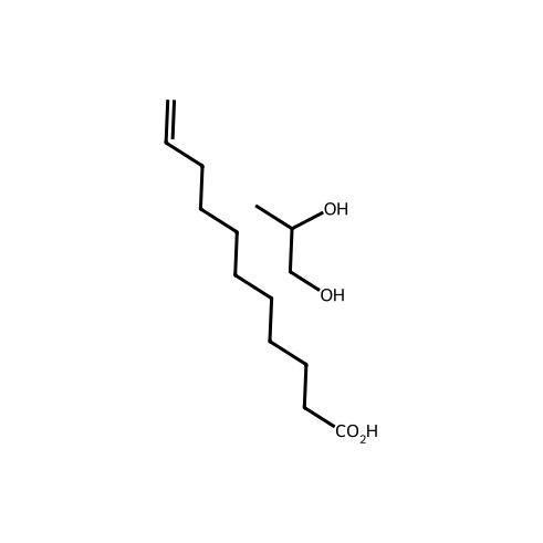 C=CCCCCCCCCC(=O)O.CC(O)CO